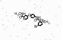 CNC(=O)c1cc(Oc2ccc(NC(=O)Nc3cc(Br)ccc3OC)cc2)ccn1